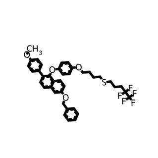 COc1ccc(-c2ccc3cc(OCc4ccccc4)ccc3c2Oc2ccc(OCCCCSCCCC(F)(F)C(F)(F)F)cc2)cc1